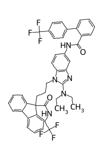 CCN(CC)c1nc2cc(NC(=O)c3ccccc3-c3ccc(C(F)(F)F)cc3)ccc2n1CCCC1(C(=O)NCC(F)(F)F)c2ccccc2-c2ccccc21